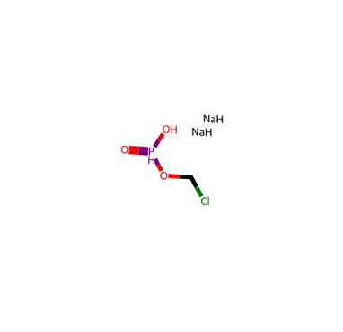 O=[PH](O)OCCl.[NaH].[NaH]